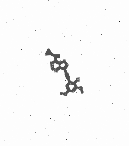 COc1cc(C#Cc2csc3c(NC4CC4)ncnc23)c(Cl)c(OC)c1